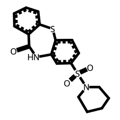 O=C1Nc2cc(S(=O)(=O)N3CCCCC3)ccc2Sc2ccccc21